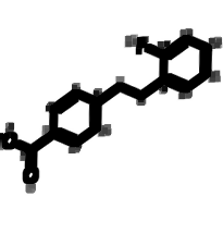 O=C(O)c1ccc(CCc2ccccc2F)cc1